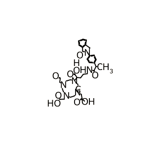 CC(C(=O)NCCCC(C(=O)O)N1CCN(CC=O)CCN(CC(=O)O)CCN(CC(=O)O)CC1)c1ccc(N2Cc3ccccc3C2=O)cc1